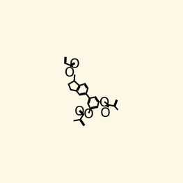 C=CC(=O)OCC1CCc2cc(-c3cc(OC(=O)C(=C)C)cc(OC(=O)C(=C)C)c3)ccc21